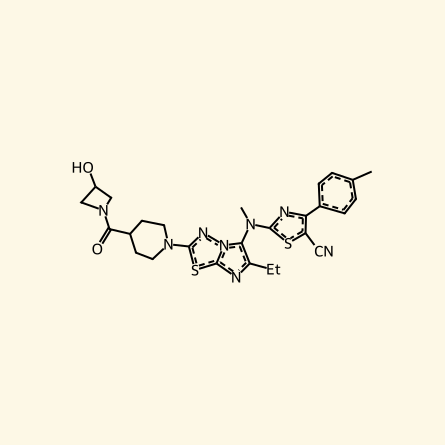 CCc1nc2sc(N3CCC(C(=O)N4CC(O)C4)CC3)nn2c1N(C)c1nc(-c2ccc(C)cc2)c(C#N)s1